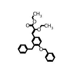 CCOC(=O)C(=Cc1ccc(OCc2ccccc2)c(Cc2ccccc2)c1)OCC